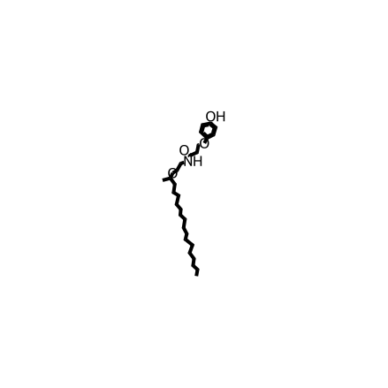 CCCCCCCCCCCCCCCCC(C)OCCNC(=O)CCOc1ccc(O)cc1